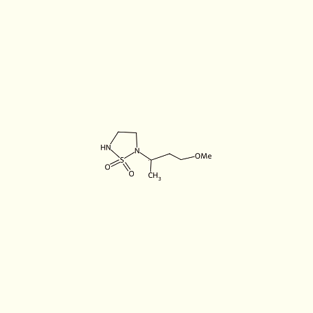 COCC[C](C)N1CCNS1(=O)=O